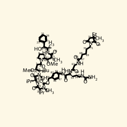 CC[C@H](C)[C@@H]([C@@H](CC(=O)N1CCC[C@H]1[C@H](OC)[C@@H](C)C(=O)N[C@H](C)[C@@H](O)c1ccccc1)OC)N(C)C(=O)[C@@H](NC(=O)C(C(C)C)N(C)C(=O)OCc1ccc(NC(=O)[C@H](CCCNC(N)=O)NC(=O)CNC(=O)CCCCCN2C(=O)CC(C)(CC)C2=O)cc1)C(C)C